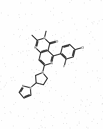 Cc1nc2cc(N3CCC(n4cccn4)C3)nc(-c3ccc(Cl)cc3F)c2c(=O)n1C